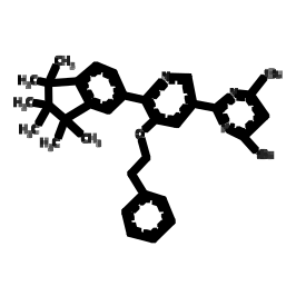 CC(C)(C)c1cc(C(C)(C)C)nc(-c2cnc(-c3ccc4c(c3)C(C)(C)C(C)(C)C4(C)C)c(OCCc3ccccc3)c2)n1